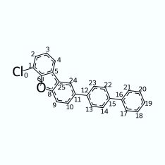 Clc1cccc2c1oc1ccc(-c3ccc(-c4ccccc4)cc3)cc12